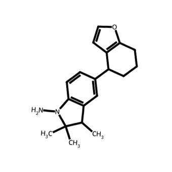 CC1c2cc(C3CCCc4occc43)ccc2N(N)C1(C)C